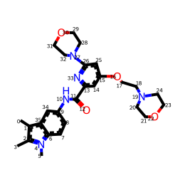 Cc1c(C)n(C)c2ccc(NC(=O)c3cc(OCCN4CCOCC4)cc(N4CCOCC4)n3)cc12